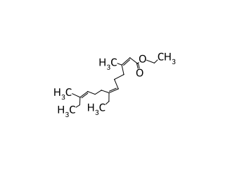 CCOC(=O)C=C(C)CCC=C(CC)CCC=C(C)CC